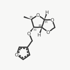 C[C@H]1O[C@@H]2OCO[C@@H]2[C@H]1OCc1ccoc1